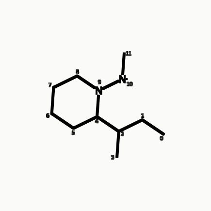 CCC(C)C1CCCCN1[N]C